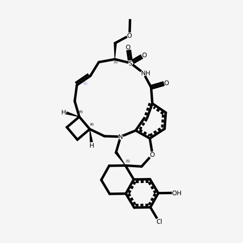 COC[C@@H]1C/C=C/C[C@H]2CC[C@H]2CN2C[C@@]3(CCCc4cc(Cl)c(O)cc43)COc3ccc(cc32)C(=O)NS1(=O)=O